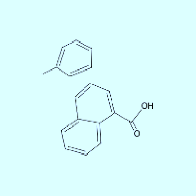 Cc1ccccc1.O=C(O)c1cccc2ccccc12